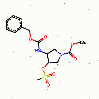 CC(C)(C)OC(=O)N1CC(NC(=O)OCc2ccccc2)C(OS(C)(=O)=O)C1